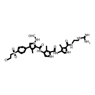 Cc1c(NC(=O)c2[nH]cc(NC(=O)c3c(C)c(-c4ccc(S(=O)(=O)CCCl)cc4)cn3NC=O)c2C)c[nH]c1C(=O)NCCNC(=N)N